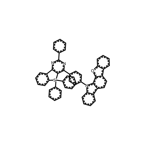 c1ccc(-c2nc(-c3ccc(-n4c5ccccc5c5ccc6c7ccccc7oc6c54)cc3)c3c(n2)-c2ccccc2[Si]3(c2ccccc2)c2ccccc2)cc1